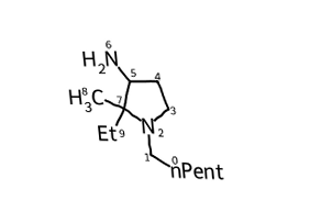 CCCCCCN1CCC(N)C1(C)CC